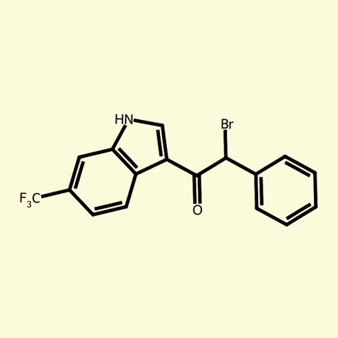 O=C(c1c[nH]c2cc(C(F)(F)F)ccc12)C(Br)c1ccccc1